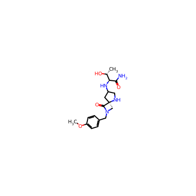 COc1ccc(CN2C[C@@]3(CC(N[C@H](C(N)=O)[C@@H](C)O)CN3)C2=O)cc1